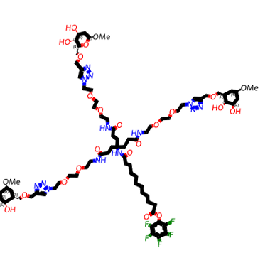 CO[C@@H]1C[C@H](COCc2cn(CCOCCOCCNC(=O)CCC(CCC(=O)NCCOCCOCCn3cc(COC[C@H]4C[C@@H](OC)C[C@@H](O)[C@H]4O)nn3)(CCC(=O)NCCOCCOCCn3cc(COC[C@H]4O[C@@H](OC)C[C@@H](O)[C@H]4O)nn3)NC(=O)CCCCCCCCCCC(=O)Oc3c(F)c(F)c(F)c(F)c3F)nn2)[C@H](O)[C@H](O)C1